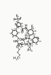 CCCCOC(=O)NCc1cccc(-n2nc(C(F)(F)F)cc2C(=O)Nc2cc(C(CCC3CC3)(NC(=O)C(C)C)c3cccnc3)ccc2F)c1